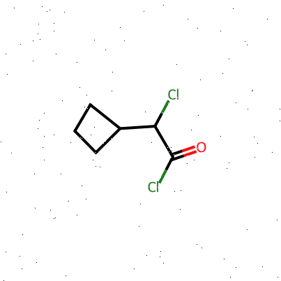 O=C(Cl)C(Cl)C1CCC1